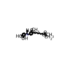 C=C(C)C(=O)OCCCCCCOc1ccc(/C=C(\C#N)c2ccc(O)c(O)c2)cc1OC